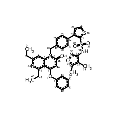 CCc1cc2c(c(Oc3ccccc3)cc(=O)n2Cc2ccc(-c3ccsc3S(=O)(=O)Nc3noc(C)c3C)cc2)c(CC)n1